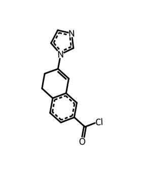 O=C(Cl)c1ccc2c(c1)C=C(n1ccnc1)CC2